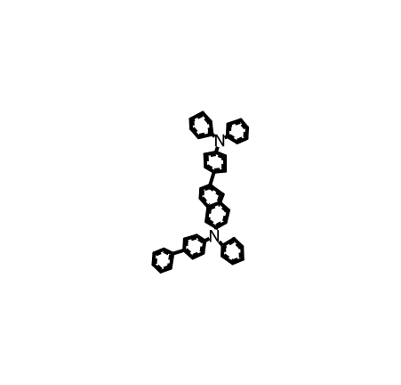 c1ccc(-c2ccc(N(c3ccccc3)c3ccc4cc(-c5ccc(N(c6ccccc6)c6ccccc6)cc5)ccc4c3)cc2)cc1